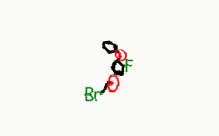 Fc1cc(OCCBr)ccc1Oc1ccccc1